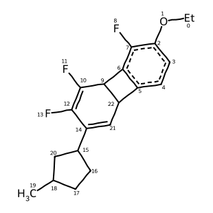 CCOc1ccc2c(c1F)C1C(F)=C(F)C(C3CCC(C)C3)=CC21